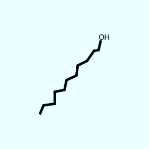 CCCCCCCCC[CH]CO